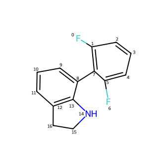 Fc1cccc(F)c1-c1cccc2c1NCC2